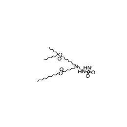 CCCCCCCCCCOC(=O)CCCCCN(CCCCCCCC(=O)OC(CCCCC)CCCCCC)CCCNc1c(NC)c(=O)c1=O